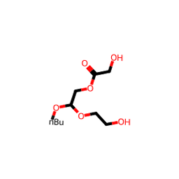 CCCCOC(COC(=O)CO)OCCO